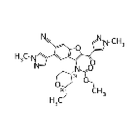 CCOC(=O)N(c1c(C(=O)c2cnn(C)c2)oc2cc(C#N)c(-c3cnn(C)c3)cc12)[C@H]1CCO[C@@H](CC)C1